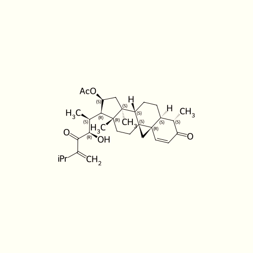 C=C(C(=O)[C@H](O)[C@@H](C)[C@H]1[C@@H](OC(C)=O)C[C@@]2(C)[C@@H]3CC[C@H]4[C@H](C)C(=O)C=C[C@@]45C[C@@]35CC[C@]12C)C(C)C